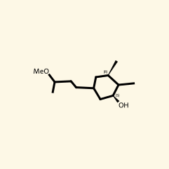 COC(C)CCC1C[C@@H](C)C(C)[C@@H](O)C1